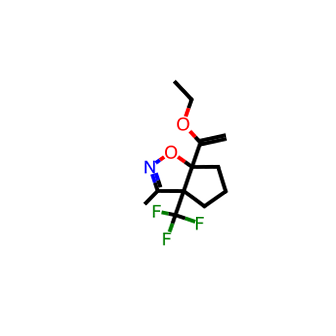 C=C(OCC)C12CCCC1(C(F)(F)F)C(C)=NO2